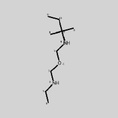 CCNCOCNC(C)(C)CC